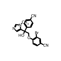 Cn1cncc1C(O)(COc1ccc(C#N)cc1Br)c1ccc(C#N)cc1